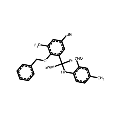 CCCCCC(CC)(Pc1ccc(C)cc1C=O)c1cc(C(C)(C)C)cc(C)c1OCc1ccccc1